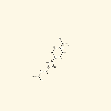 CC(C)CCC1CC(C2CCN(C(C)C)CC2)C1